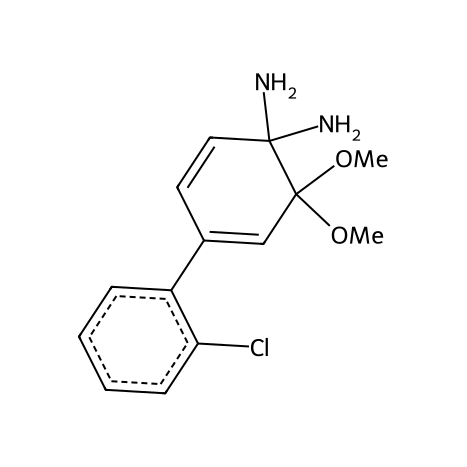 COC1(OC)C=C(c2ccccc2Cl)C=CC1(N)N